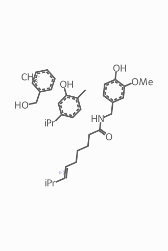 COc1cc(CNC(=O)CCCC/C=C/C(C)C)ccc1O.Cc1ccc(C(C)C)cc1O.OCc1ccccc1.[CH3]